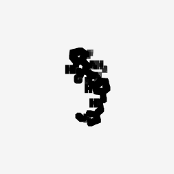 CCN1CCC(CNCc2ccc3nc(-c4c(N)c5c(F)cccc5[nH]c4=O)[nH]c3c2)C1